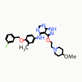 COC1CCN(CCOc2n[nH]c3ncnc(Nc4ccc(OCc5cccc(F)c5)c(C)c4)c23)CC1